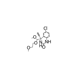 C#CC1(C(OC)OCCOC)NC(=O)Nc2ccc(Cl)cc21